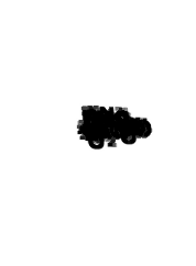 NC(=O)N(c1cccc2c1C(=O)c1c-2n[nH]c1-c1ccc(C(=O)N2CCCC2CN2CCCC2)s1)N1CCOCC1